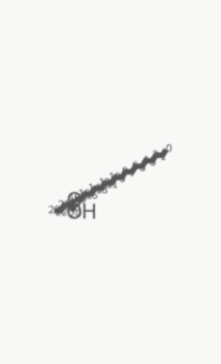 CCCCCCCCCCCCCCCCCCOC(O)CCC